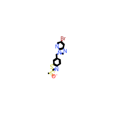 C[S+]([O-])c1nc2ccc(Cn3cnc4cc(Br)cnc43)cc2s1